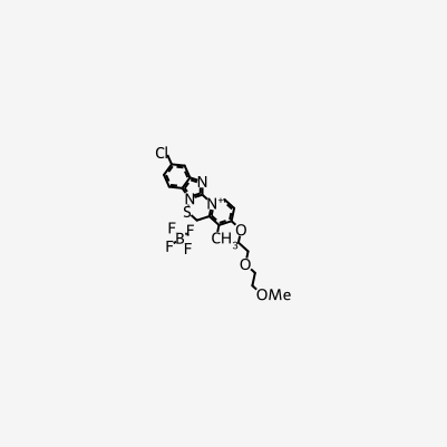 COCCOCCOc1cc[n+]2c(c1C)CSn1c-2nc2cc(Cl)ccc21.F[B-](F)(F)F